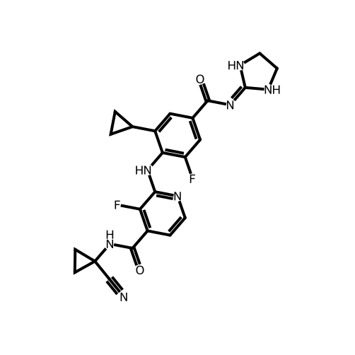 N#CC1(NC(=O)c2ccnc(Nc3c(F)cc(C(=O)N=C4NCCN4)cc3C3CC3)c2F)CC1